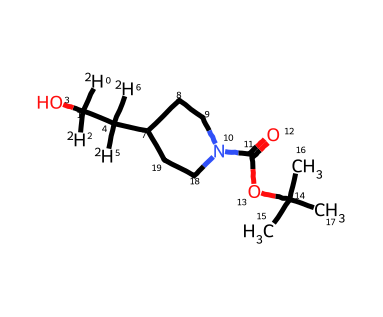 [2H]C([2H])(O)C([2H])([2H])C1CCN(C(=O)OC(C)(C)C)CC1